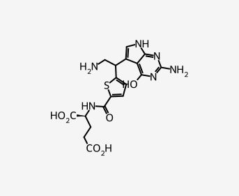 NCC(c1ccc(C(=O)N[C@@H](CCC(=O)O)C(=O)O)s1)c1c[nH]c2nc(N)nc(O)c12